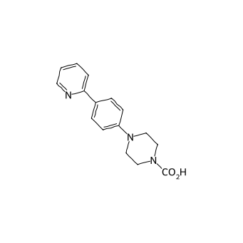 O=C(O)N1CCN(c2ccc(-c3ccccn3)cc2)CC1